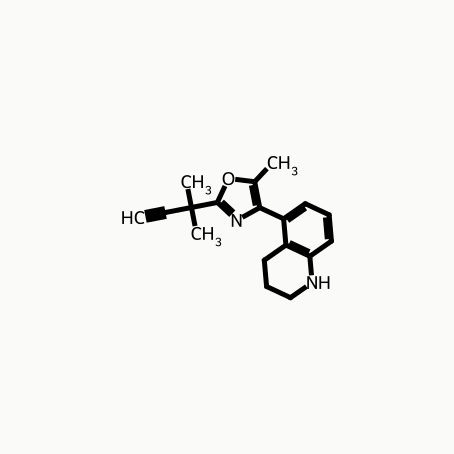 C#CC(C)(C)c1nc(-c2cccc3c2CCCN3)c(C)o1